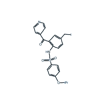 CC(C)Oc1ccc(S(=O)(=O)Nc2ccc(CI)cc2C(=O)c2ccncc2)cc1